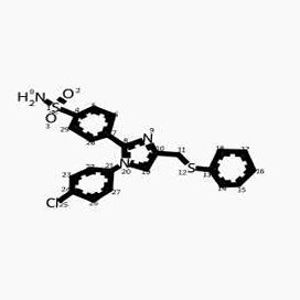 NS(=O)(=O)c1ccc(-c2nc(CSc3ccccc3)cn2-c2ccc(Cl)cc2)cc1